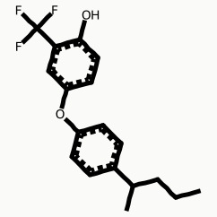 CCCC(C)c1ccc(Oc2ccc(O)c(C(F)(F)F)c2)cc1